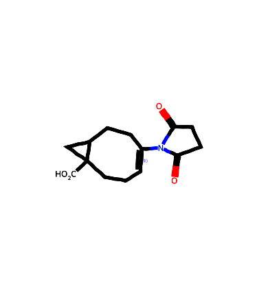 O=C1CCC(=O)N1/C1=C/CCC2(C(=O)O)CC2CC1